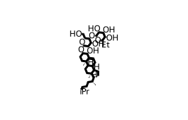 CCC1O[C@H](O[C@@H]2C(CO)O[C@@H](O[C@H]3CC[C@@]4(C)C(=CC[C@H]5[C@@H]6CC[C@H]([C@H](C)CCCC(C)C)[C@@]6(C)CC[C@@H]54)C3)C(O)[C@H]2O)C(O)[C@@H](O)[C@@H]1O